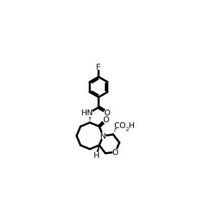 O=C(N[C@H]1CCCC[C@H]2COC[C@@H](C(=O)O)N2C1=O)c1ccc(F)cc1